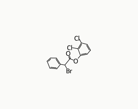 O=C(Oc1cccc(Cl)c1Cl)C(Br)c1ccccc1